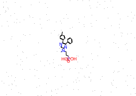 Cc1ccc(-c2ncc(N(C)CCCP(=O)(O)O)nc2-c2ccccc2)cc1